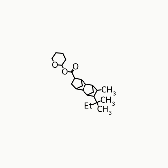 CCC(C)(C)C1C(C)C2CC1C1C3CC(C(=O)OC4CCCCO4)C(C3)C21